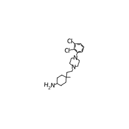 CC1(CCN2CCN(c3cccc(Cl)c3Cl)CC2)CCC(N)CC1